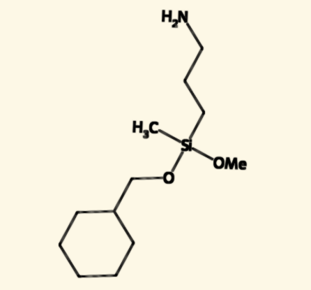 CO[Si](C)(CCCN)OCC1CCCCC1